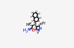 CCCc1nn(C)c2c1C(c1ccc3ccccc3c1)C(C#N)=C(N)O2